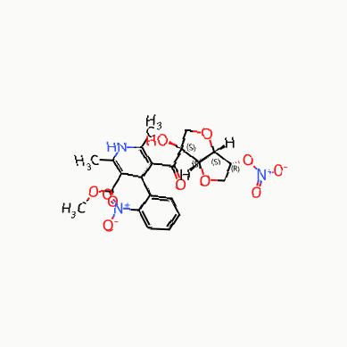 COC(=O)C1=C(C)NC(C)=C(C(=O)[C@]2(O)CO[C@@H]3[C@H](O[N+](=O)[O-])CO[C@@H]32)C1c1ccccc1[N+](=O)[O-]